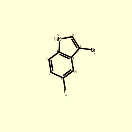 Fc1ccc2[nH]cc(Br)c2c1